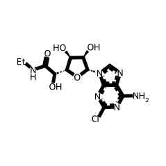 CCNC(=O)C(O)[C@H]1O[C@@H](n2cnc3c(N)nc(Cl)nc32)[C@H](O)[C@@H]1O